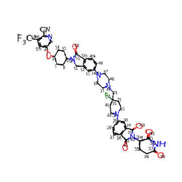 N#Cc1ncc(OC2CCC(N3Cc4cc(N5CCN(CC6(F)CCN(c7ccc8c(c7)C(=O)N(C7CCC(=O)NC7=O)C8=O)CC6)CC5)ccc4C3=O)CC2)cc1C(F)(F)F